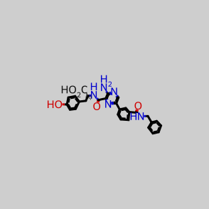 Nc1ncc(-c2cccc(C(=O)NCc3ccccc3)c2)nc1C(=O)N[C@H](Cc1ccc(O)cc1)C(=O)O